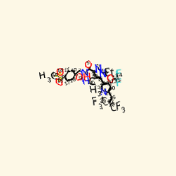 CCn1nc(C(=O)NC[C@]2(O)CC[C@@H](S(C)(=O)=O)CC2)c(C)c1-c1cnc(CC(C(F)(F)F)C(F)(F)F)cc1OC(F)F